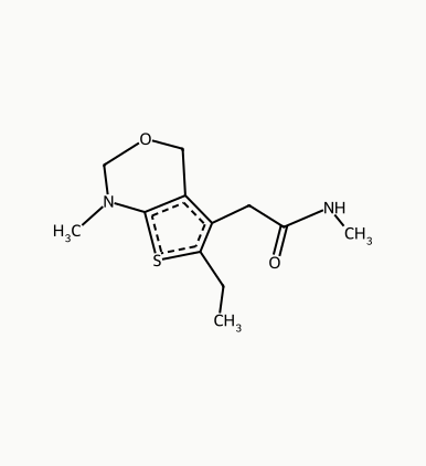 CCc1sc2c(c1CC(=O)NC)COCN2C